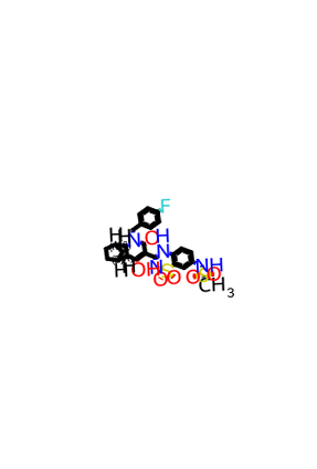 CS(=O)(=O)Nc1ccc2c(c1)S(=O)(=O)N=C(C1=C(O)[C@@H]3[C@@H]4CC[C@H](C4)[C@@H]3N(Cc3ccc(F)cc3)C1=O)N2